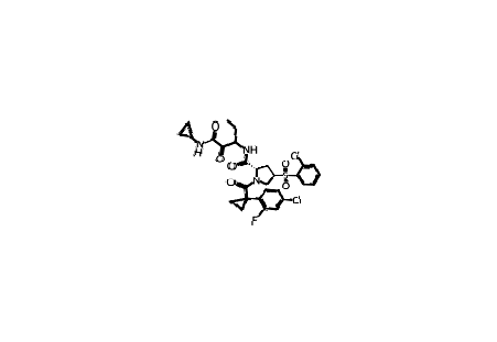 CCC(NC(=O)[C@@H]1C[C@@H](S(=O)(=O)c2ccccc2Cl)CN1C(=O)C1(c2ccc(Cl)cc2F)CC1)C(=O)C(=O)NC1CC1